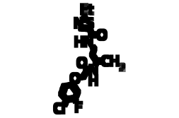 C=C(CCNC(=O)c1cnc(CC)s1)NC(=O)COc1ccc(Cl)c(F)c1